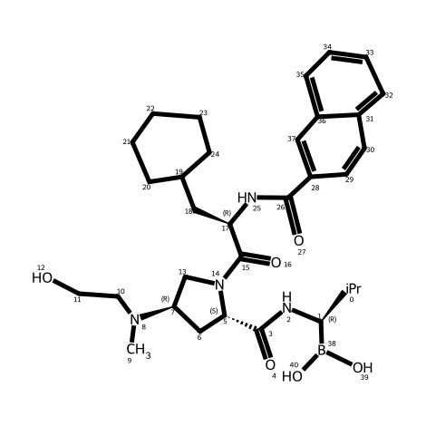 CC(C)[C@H](NC(=O)[C@@H]1C[C@@H](N(C)CCO)CN1C(=O)[C@@H](CC1CCCCC1)NC(=O)c1ccc2ccccc2c1)B(O)O